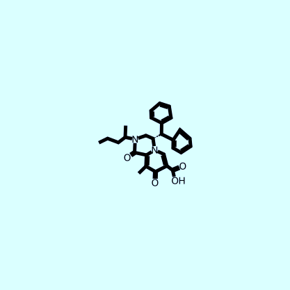 CCCC(C)N1C[C@H](C(c2ccccc2)c2ccccc2)n2cc(C(=O)O)c(=O)c(C)c2C1=O